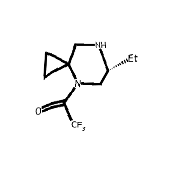 CC[C@@H]1CN(C(=O)C(F)(F)F)C2(CC2)CN1